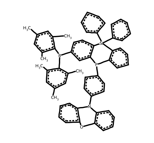 Cc1cc(C)c(B(c2ccc3c(c2)P(c2ccc(N4c5ccccc5Oc5ccccc54)cc2)c2ccccc2[Si]3(c2ccccc2)c2ccccc2)c2c(C)cc(C)cc2C)c(C)c1